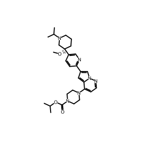 CO[C@@]1(c2ccc(-c3cc4c(N5CCN(C(=O)OC(C)C)CC5)ccnn4c3)nc2)CCCN(C(C)C)C1